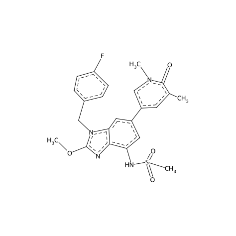 COc1nc2c(NS(C)(=O)=O)cc(-c3cc(C)c(=O)n(C)c3)cc2n1Cc1ccc(F)cc1